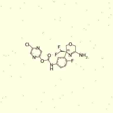 NC1=N[C@@](c2cc(NC(=O)Oc3cnc(Cl)cn3)ccc2F)(C(F)F)COC1